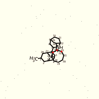 CC1CC2CCC(C3CC4CCC(N3)C(N3CC5CCCC(CCC5)C3)C4)C(C1)N2